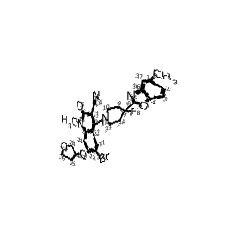 Cc1ccc2oc(C3(F)CCN(c4c(C#N)c(=O)n(C)c5cc(OC6CCOC6)c(Br)cc45)CC3)nc2c1